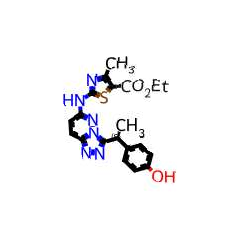 CCOC(=O)c1sc(Nc2ccc3nnc([C@@H](C)c4ccc(O)cc4)n3n2)nc1C